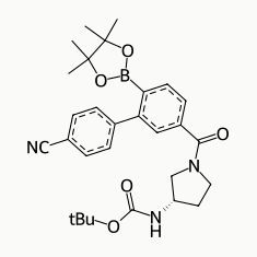 CC(C)(C)OC(=O)N[C@H]1CCN(C(=O)c2ccc(B3OC(C)(C)C(C)(C)O3)c(-c3ccc(C#N)cc3)c2)C1